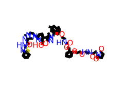 Cc1c(-c2ccc(N3CCn4cnc(C(=O)Nc5nc6ccccc6s5)c4C3)nc2C(=O)O)cnn1CC12CC3(C)CC(C)(C1)CC(OCCNC(=O)OCc1cc[c]cc1OCCOCCNC(=O)CN1C(=O)C=CC1=O)(C3)C2